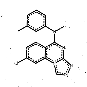 Cc1cccc(N(C)c2nc3nncn3c3cc(Cl)ccc23)c1